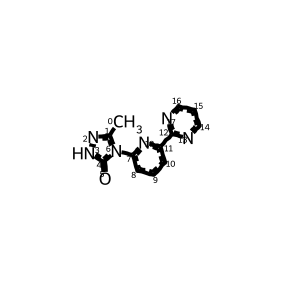 Cc1n[nH]c(=O)n1-c1cccc(-c2ncccn2)n1